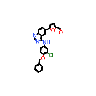 O=Cc1ccc(-c2ccc3ncnc(Nc4ccc(OCc5ccccc5)c(Cl)c4)c3c2)o1